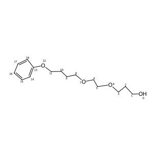 OCCCOCCOCCCCOc1ccccc1